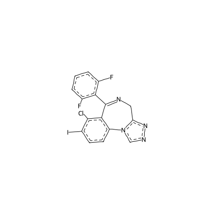 Fc1cccc(F)c1C1=NCc2nncn2-c2ccc(I)c(Cl)c21